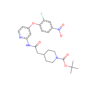 CC(C)(C)OC(=O)N1CCC(CC(=O)Nc2cc(Oc3ccc([N+](=O)[O-])cc3F)ccn2)CC1